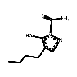 CCCCc1cnn(C(N)=S)c1O